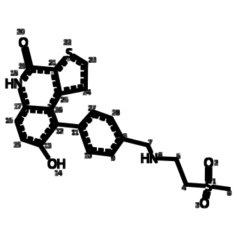 CS(=O)(=O)CCNCc1ccc(-c2c(O)ccc3[nH]c(=O)c4sccc4c23)cc1